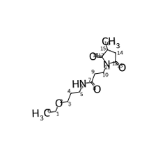 CCOCCCNC(=O)CCN1C(=O)CC(C)C1=O